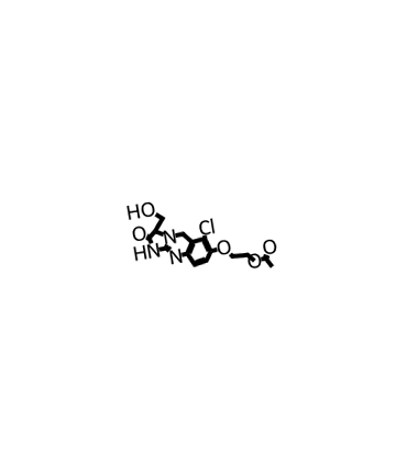 CC(=O)OCCOc1ccc2c(c1Cl)CN1C(=N2)NC(=O)C1CO